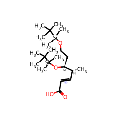 C[C@H](/C=C/C(=O)O)[C@H](CCO[Si](C)(C)C(C)(C)C)O[Si](C)(C)C(C)(C)C